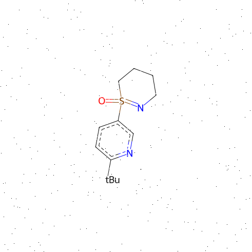 CC(C)(C)c1ccc(S2(=O)=NCCCC2)cn1